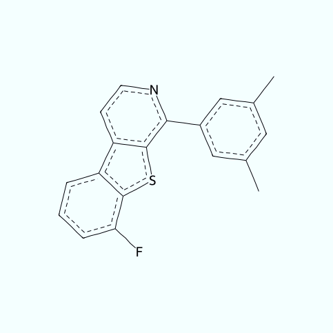 Cc1cc(C)cc(-c2nccc3c2sc2c(F)cccc23)c1